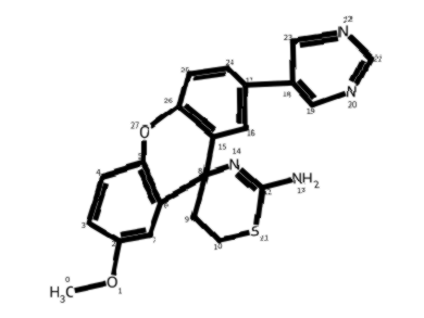 COc1ccc2c(c1)C1(CCSC(N)=N1)c1cc(-c3cncnc3)ccc1O2